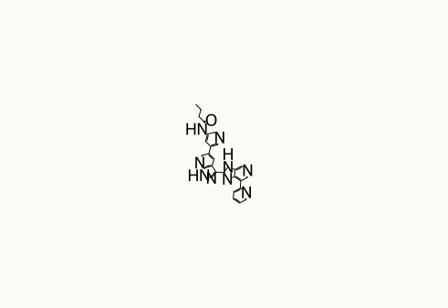 CCCC(=O)Nc1cncc(-c2cnc3[nH]nc(-c4nc5c(-c6ccccn6)cncc5[nH]4)c3c2)c1